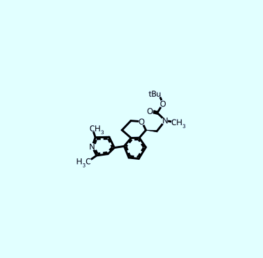 Cc1cc(-c2cccc3c2CCO[C@H]3CN(C)C(=O)OC(C)(C)C)cc(C)n1